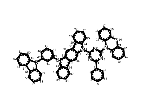 c1ccc(-c2nc(N3c4ccccc4Sc4ccccc43)nc(-n3c4ccccc4c4cc5c(cc43)c3ccccc3n5-c3cccc(B4c5ccccc5-c5ccccc54)c3)n2)cc1